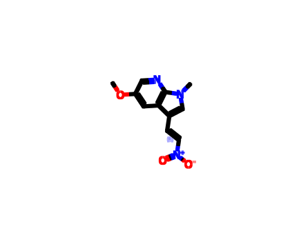 COc1cnc2c(c1)c(/C=C/[N+](=O)[O-])cn2C